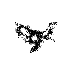 CCCCCCCCCCCCCCCCCC(=O)OC(COCC(COC(=O)NCCCN(C)CCCNC(=O)OC(C)(C)C)OC(=O)NCCCN(C)CCCNC(=O)OC(C)(C)C)COCC(COC(=O)NCCCN(C)CCCNC(=O)OC(C)(C)C)OC(=O)NCCCN(C)CCCNC(=O)OC(C)(C)C